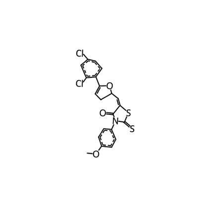 COc1ccc(N2C(=O)/C(=C\C3CC=C(c4ccc(Cl)cc4Cl)O3)SC2=S)cc1